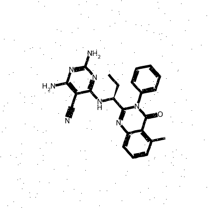 CC[C@H](Nc1nc(N)nc(N)c1C#N)c1nc2cccc(C)c2c(=O)n1-c1ccccc1